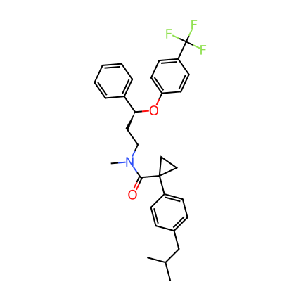 CC(C)Cc1ccc(C2(C(=O)N(C)CC[C@H](Oc3ccc(C(F)(F)F)cc3)c3ccccc3)CC2)cc1